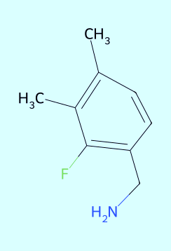 Cc1ccc(CN)c(F)c1C